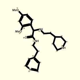 COc1ccc(C(NCCC2CCNCC2)C(=O)NCCc2ccncc2)c(OC)c1